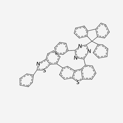 c1ccc(-c2nc(-c3cccc4sc5ccc(-c6cccc7nc(-c8ccccc8)sc67)cc5c34)nc(C3(c4ccccc4)c4ccccc4-c4ccccc43)n2)cc1